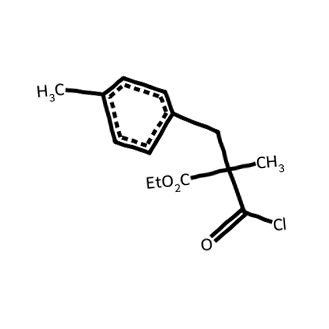 CCOC(=O)C(C)(Cc1ccc(C)cc1)C(=O)Cl